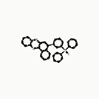 S=P(c1ccccc1)(c1ccccc1)c1cccc(-c2cc3nc4ccccc4nc3c3ccccc23)c1